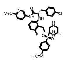 COc1ccc(NC(=O)[C@H](Cc2ccc(Cl)cc2)Nc2cccc(F)c2CC[C@]2(S(=O)(=O)c3ccc(OC(F)(F)F)cc3)CNC[C@H](C)N2)cn1